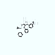 O=C1c2[nH]nc(-c3cccc4[nH]c(=O)oc34)c2C(c2cc(Oc3ccccc3)ccc2F)N1CC1CC1